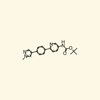 Cn1[c]c(-c2ccc(-c3ccc(NC(=O)OC(C)(C)C)cn3)cc2)cn1